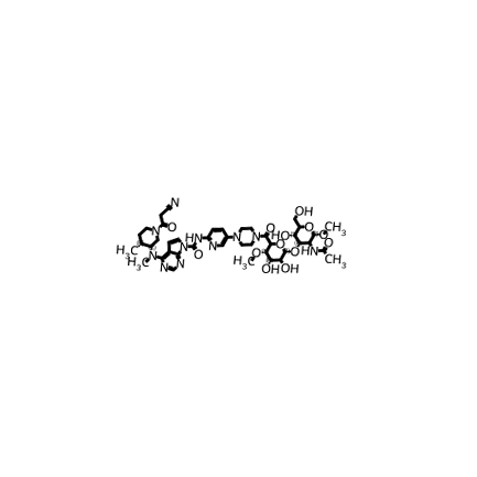 CO[C@@H]1OC(CO)[C@@H](O)[C@H](O[C@@H]2OC(C(=O)N3CCN(c4ccc(NC(=O)n5ccc6c(N(C)[C@H]7CN(C(=O)CC#N)CC[C@H]7C)ncnc65)nc4)CC3)[C@@H](OC)[C@H](O)C2O)C1NC(C)=O